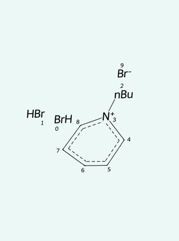 Br.Br.CCCC[n+]1ccccc1.[Br-]